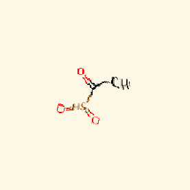 [CH]C(=O)[SH](=O)=O